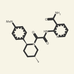 CNc1ccc([C@@H]2CC[C@@H](C)CN2C(=O)C(=O)Nc2ncccc2C(N)=O)cc1